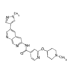 CN1CCC(Oc2cc(C(=O)Nc3cc4cc(-c5cnn(C)c5)cnc4cn3)ccn2)CC1